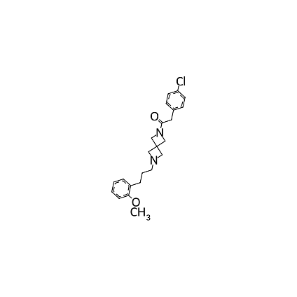 COc1ccccc1CCCN1CC2(C1)CN(C(=O)Cc1ccc(Cl)cc1)C2